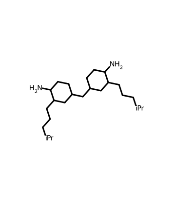 CC(C)CCCC1CC(CC2CCC(N)C(CCCC(C)C)C2)CCC1N